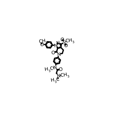 COc1ccc(-n2nc(S(C)(=O)=O)c3c2C(=O)N(c2ccc(N(C)C(=O)CN(C)C)cc2)CC3)cc1